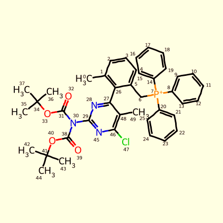 Cc1cccc(C[P+](c2ccccc2)(c2ccccc2)c2ccccc2)c1-c1nc(N(C(=O)OC(C)(C)C)C(=O)OC(C)(C)C)nc(Cl)c1C